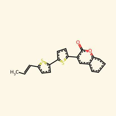 C/C=C/c1ccc(-c2ccc(-c3cc4ccccc4oc3=O)s2)s1